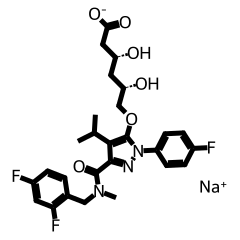 CC(C)c1c(C(=O)N(C)Cc2ccc(F)cc2F)nn(-c2ccc(F)cc2)c1OC[C@@H](O)C[C@@H](O)CC(=O)[O-].[Na+]